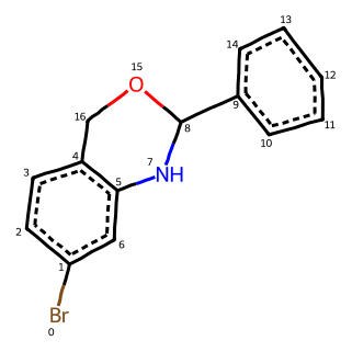 Brc1ccc2c(c1)NC(c1ccccc1)OC2